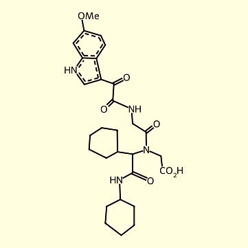 COc1ccc2c(C(=O)C(=O)NCC(=O)N(CC(=O)O)C(C(=O)NC3CCCCC3)C3CCCCC3)c[nH]c2c1